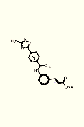 COC(=O)/C=C/c1cccc(NC(C)C23CCC(c4nc(C)no4)(CC2)CC3)c1